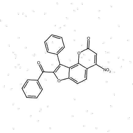 O=C(c1ccccc1)c1oc2ccc3c([N+](=O)[O-])cc(=O)oc3c2c1-c1ccccc1